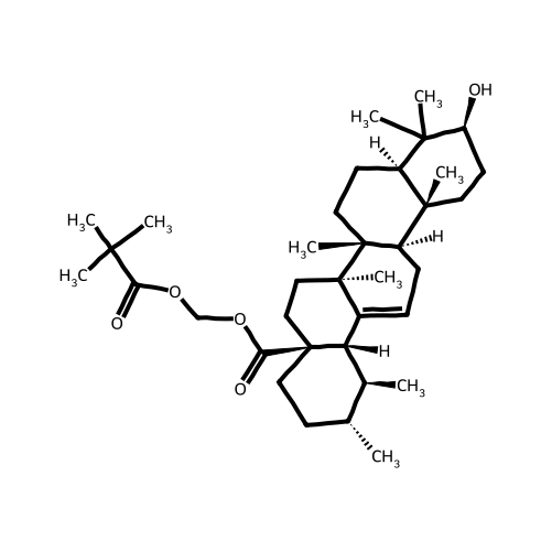 C[C@H]1[C@H](C)CC[C@]2(C(=O)OCOC(=O)C(C)(C)C)CC[C@]3(C)C(=CC[C@@H]4[C@@]5(C)CC[C@H](O)C(C)(C)[C@@H]5CC[C@]43C)[C@H]12